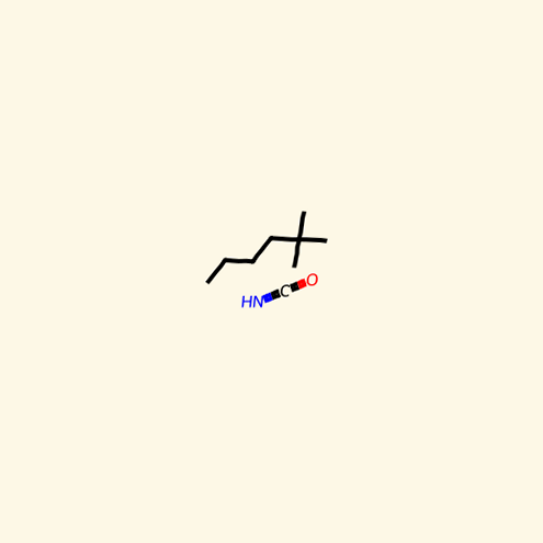 CCCCC(C)(C)C.N=C=O